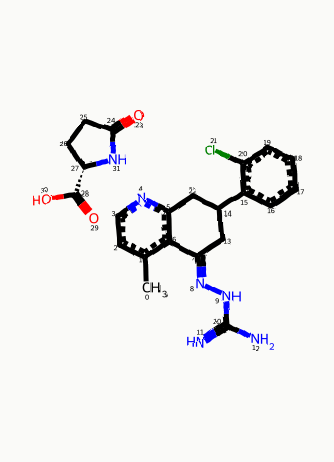 Cc1ccnc2c1C(=NNC(=N)N)CC(c1ccccc1Cl)C2.O=C1CC[C@@H](C(=O)O)N1